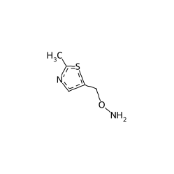 Cc1ncc(CON)s1